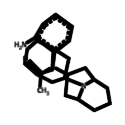 CC(=O)N(c1ccccc1N)C1CC2CCCC(C1)N2C1CC2CCCC(C2)C1